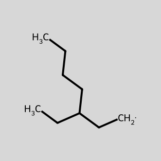 [CH2]CC(CC)CCCC